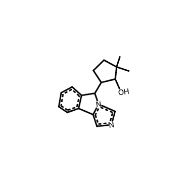 CC1(C)CCC(C2c3ccccc3-c3cncn32)C1O